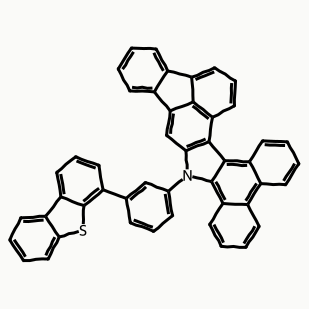 c1cc(-c2cccc3c2sc2ccccc23)cc(-n2c3cc4c5c(cccc5c3c3c5ccccc5c5ccccc5c32)-c2ccccc2-4)c1